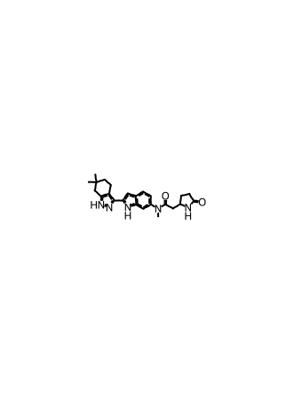 CN(C(=O)CC1CCC(=O)N1)c1ccc2cc(-c3n[nH]c4c3CCC(C)(C)C4)[nH]c2c1